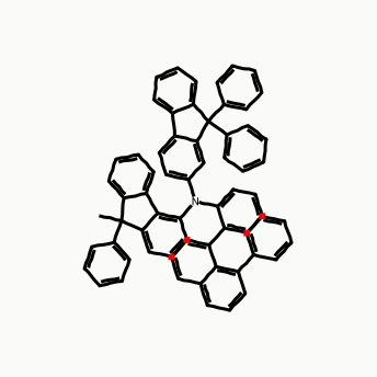 CC1(c2ccccc2)c2ccccc2-c2c(N(c3ccc4c(c3)C(c3ccccc3)(c3ccccc3)c3ccccc3-4)c3ccccc3-c3cccc4cccc(-c5ccccc5)c34)cccc21